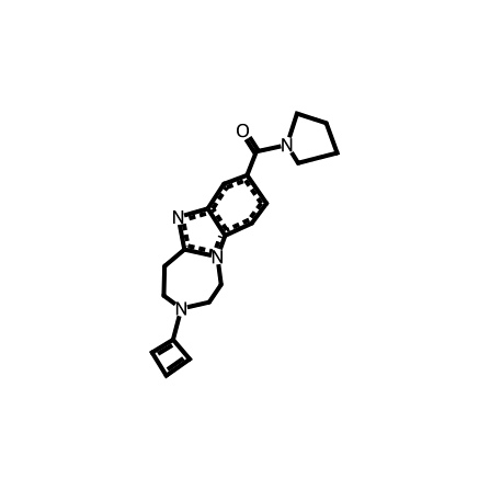 O=C(c1ccc2c(c1)nc1n2CCN(C2=CC=C2)CC1)N1CCCC1